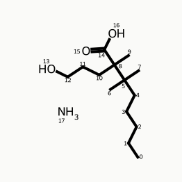 CCCCCC(C)(C)C(C)(CCCO)C(=O)O.N